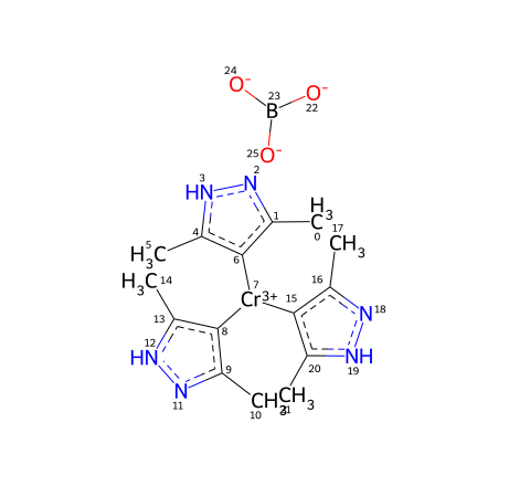 Cc1n[nH]c(C)[c]1[Cr+3]([c]1c(C)n[nH]c1C)[c]1c(C)n[nH]c1C.[O-]B([O-])[O-]